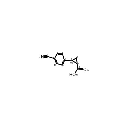 N#Cc1ccc([C@H]2CC2C(=O)O)cc1